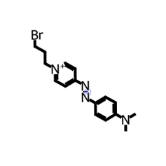 CN(C)c1ccc(/N=N/c2cc[n+](CCCBr)cc2)cc1